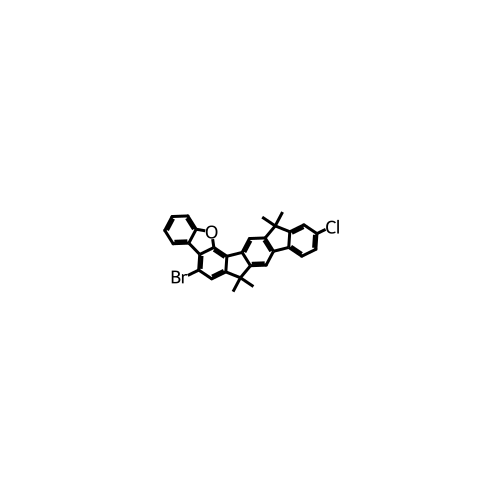 CC1(C)c2cc(Cl)ccc2-c2cc3c(cc21)-c1c(cc(Br)c2c1oc1ccccc12)C3(C)C